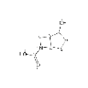 O=C(O)N1CC2C(O)CCC21